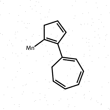 [Mn][C]1=C(C2=CC=CC=CC2)C=CC1